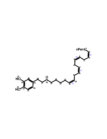 CCCCC/C=C\C/C=C\C/C=C\C/C=C\CCCCNCCc1ccc(O)c(O)c1